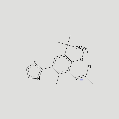 CC/C(C)=N\c1c(C)c(-c2nccs2)cc(C(C)(C)OC)c1OC(F)(F)F